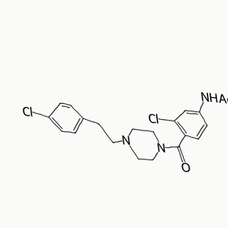 CC(=O)Nc1ccc(C(=O)N2CCN(CCc3ccc(Cl)cc3)CC2)c(Cl)c1